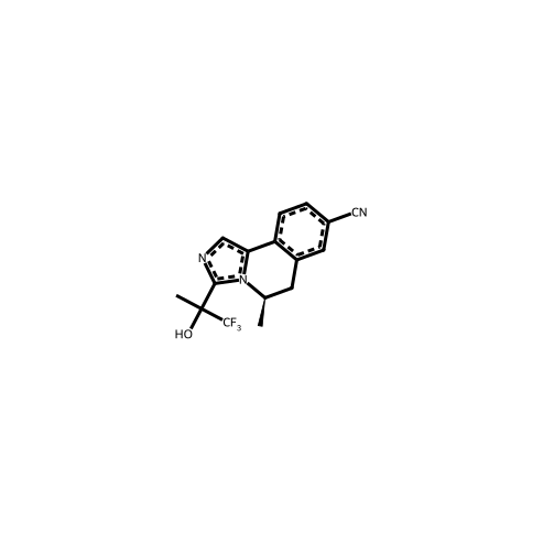 C[C@@H]1Cc2cc(C#N)ccc2-c2cnc(C(C)(O)C(F)(F)F)n21